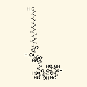 CCCCCCCCCCCCCCCCCC(=O)OC[C@@H](C)COP(=O)(O)OCCOC1OC(COC2OC(CO)C(O)C(O)C2O)C(O)C(O)C1O